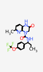 CCC(NC(=O)N1CC(=O)Nc2ccc(C)nc21)c1ccc(OC(F)(F)F)cc1